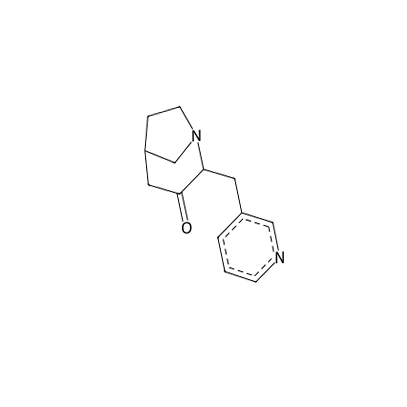 O=C1CC2CCN(C2)C1Cc1cccnc1